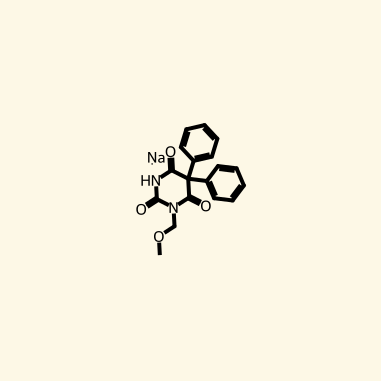 COCN1C(=O)NC(=O)C(c2ccccc2)(c2ccccc2)C1=O.[Na]